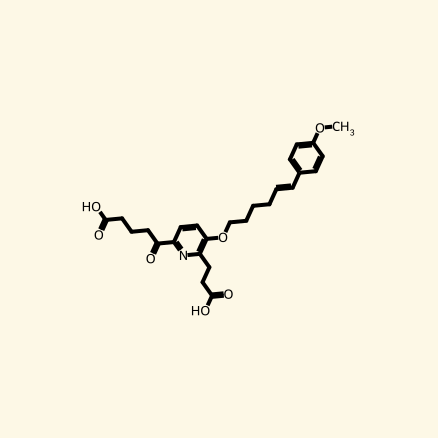 COc1ccc(C=CCCCCOc2ccc(C(=O)CCCC(=O)O)nc2CCC(=O)O)cc1